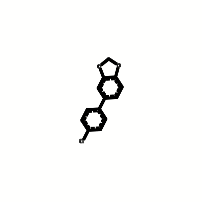 Clc1ccc(-c2ccc3c(c2)OCO3)cc1